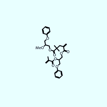 C=C(C)C(=O)OC(COC(=O)C(=C)CC(C)(C)C(=O)OCC(COc1ccccc1)OC)COc1ccccc1